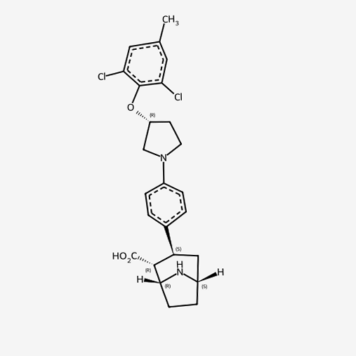 Cc1cc(Cl)c(O[C@@H]2CCN(c3ccc([C@H]4C[C@@H]5CC[C@@H](N5)[C@@H]4C(=O)O)cc3)C2)c(Cl)c1